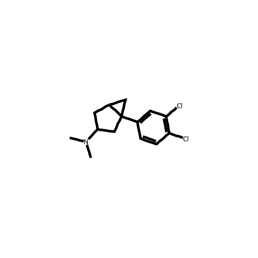 CN(C)C1CC2CC2(c2ccc(Cl)c(Cl)c2)C1